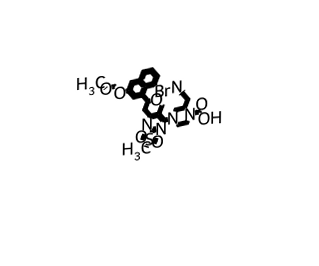 COCOc1cc(C2Cc3nc(S(C)(=O)=O)nc(N4CCN(C(=O)O)C(CC#N)C4)c3CO2)c2c(Br)cccc2c1